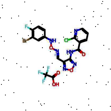 O=C(Nc1nonc1/C=N/ONc1ccc(F)c(Br)c1)c1cccnc1Cl.O=C(O)C(F)(F)F